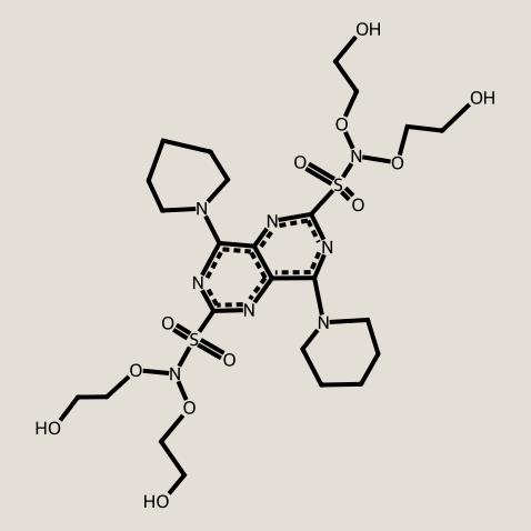 O=S(=O)(c1nc(N2CCCCC2)c2nc(S(=O)(=O)N(OCCO)OCCO)nc(N3CCCCC3)c2n1)N(OCCO)OCCO